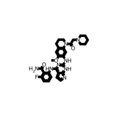 COc1cc2c(cc1Nc1nc(Nc3cccc(F)c3C(N)=O)c3ccnc-3[nH]1)N(C(=O)CN1CCCCC1)CCC2